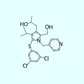 CC(O)Cc1c(C(C)C)c(Sc2cc(Cl)cc(Cl)c2)n(Cc2ccncc2)c1CO